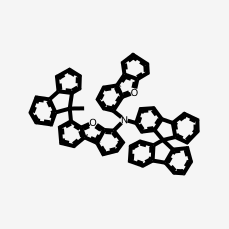 CC1(c2cccc3c2oc2c(N(c4ccc5c(c4)C4(c6ccccc6-c6ccccc64)c4ccccc4-5)c4cccc5c4oc4ccccc45)cccc23)c2ccccc2-c2ccccc21